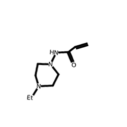 C=CC(=O)NN1CCN(CC)CC1